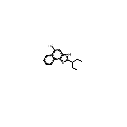 CCC(CC)c1nc2c(cc(O)c3ccccc32)[nH]1